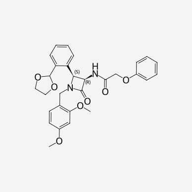 COc1ccc(CN2C(=O)[C@H](NC(=O)COc3ccccc3)[C@@H]2c2ccccc2C2OCCO2)c(OC)c1